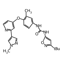 Cc1cc(NC(=O)Nc2cc(C(C)(C)C)no2)ccc1Oc1ccnc(-c2cnn(C)c2)c1